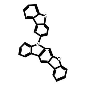 c1ccc2c(c1)oc1cc3c(cc12)c1ccccc1n3-c1ccc2sc3ccccc3c2c1